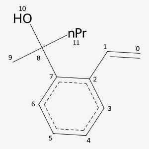 C=Cc1ccccc1C(C)(O)CCC